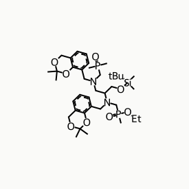 CCOP(C)(=O)CN(Cc1cccc2c1OC(C)(C)OC2)C(CO[Si](C)(C)C(C)(C)C)CN(Cc1cccc2c1OC(C)(C)OC2)CP(C)(C)=O